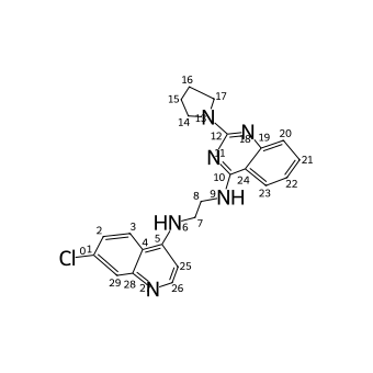 Clc1ccc2c(NCCNc3nc(N4CCCC4)nc4ccccc34)ccnc2c1